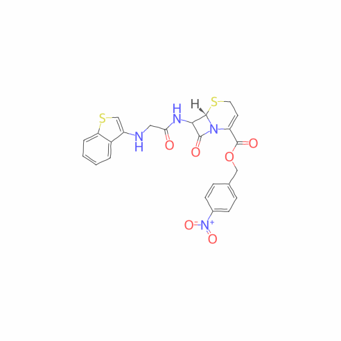 O=C(CNc1csc2ccccc12)NC1C(=O)N2C(C(=O)OCc3ccc([N+](=O)[O-])cc3)=CCS[C@@H]12